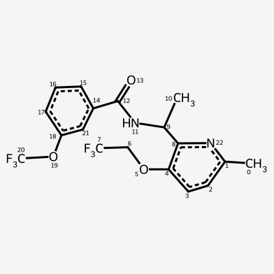 Cc1ccc(OCC(F)(F)F)c(C(C)NC(=O)c2cccc(OC(F)(F)F)c2)n1